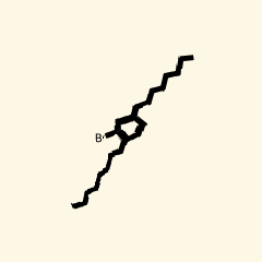 CCCCCCCCc1ccc(CCCCCCCC)c(Br)c1